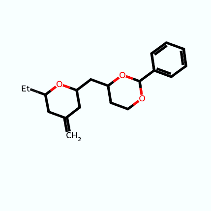 C=C1CC(CC)OC(CC2CCOC(c3ccccc3)O2)C1